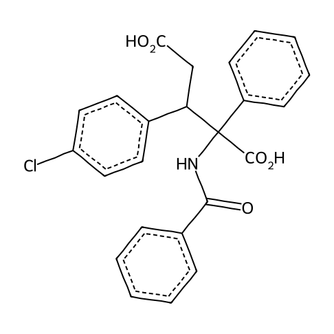 O=C(O)CC(c1ccc(Cl)cc1)C(NC(=O)c1ccccc1)(C(=O)O)c1ccccc1